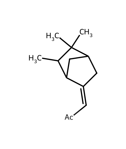 CC(=O)/C=C1/CC2CC1C(C)C2(C)C